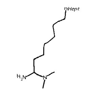 CCCCCCCCCCCCCC(N)N(C)C